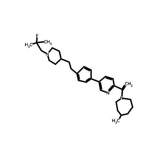 C=C(c1ccc(-c2ccc(CCC3CCN(CC(C)(C)F)CC3)cc2)cn1)N1CCCC(C)CC1